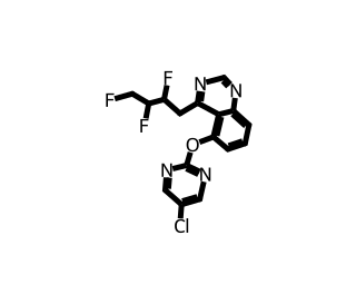 FCC(F)C(F)Cc1ncnc2cccc(Oc3ncc(Cl)cn3)c12